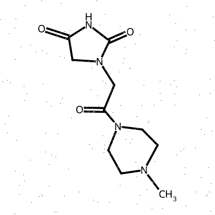 CN1CCN(C(=O)CN2CC(=O)NC2=O)CC1